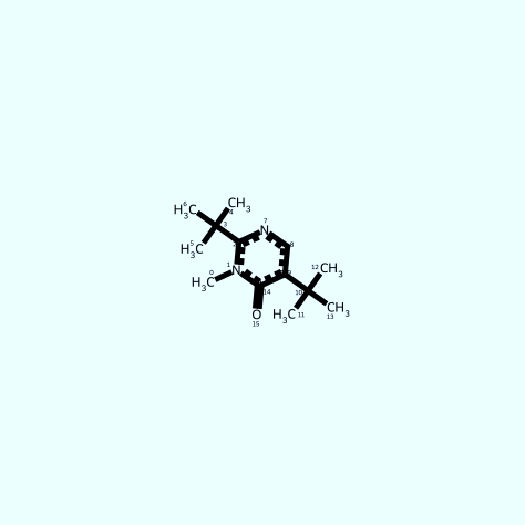 Cn1c(C(C)(C)C)ncc(C(C)(C)C)c1=O